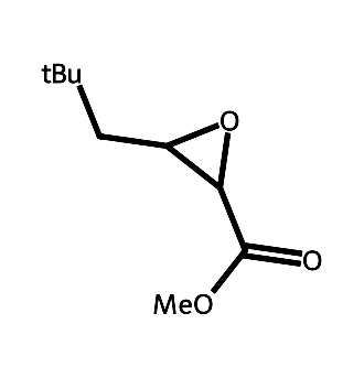 COC(=O)C1OC1CC(C)(C)C